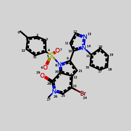 Cc1ccc(S(=O)(=O)n2c(-c3ccnn3-c3ccccc3)cc3c(Br)cn(C)c(=O)c32)cc1